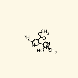 [2H]Cc1cc(C(=O)OC)c(-c2cnn(C)c2O)cn1